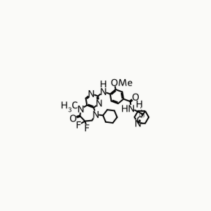 COc1cc(C(=O)N[C@@H]2CN3CCC2CC3)ccc1Nc1ncc2c(n1)N(C1CCCCC1)CC(F)(F)C(=O)N2C